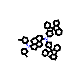 Cc1cccc(N(c2cccc(C)c2)c2ccc3ccc4c(N(c5ccc(C6(c7ccccc7)c7ccccc7-c7ccccc76)cc5)c5ccc(C6(c7ccccc7)c7ccccc7-c7ccccc76)cc5)ccc5ccc2c3c54)c1